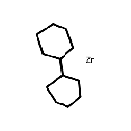 C1CCC(C2CCCCC2)CC1.[Zn]